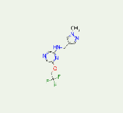 Cn1cc(CNc2cncc(OCC(F)(F)F)n2)cn1